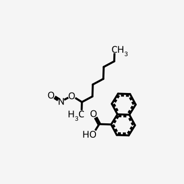 CCCCCCC(C)ON=O.O=C(O)c1cccc2ccccc12